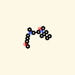 c1ccc2c(c1)Oc1cc(-c3ccc4c(c3)c3ccccc3n4-c3ccc4cc5cc6oc7ccccc7c6cc5cc4c3)ccc1N2c1c2ccccc2c(-c2cccc3ccccc23)c2ccccc12